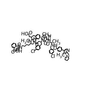 COCC(NC(=O)C(C)NCc1ccc(Cl)cc1Oc1ccc(-c2cnc(CN3CCCC3)n2C)cc1)C(=O)N(C)C(CC(=O)NCC(CCCCNS(=O)(=O)c1ccccc1[N+](=O)[O-])N(C)C(=O)C(CC(=O)O)Cc1ccccc1)Cc1ccc(Cl)cc1